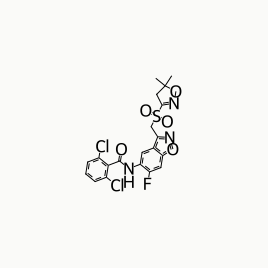 CC1(C)CC(S(=O)(=O)Cc2noc3cc(F)c(NC(=O)c4c(Cl)cccc4Cl)cc23)=NO1